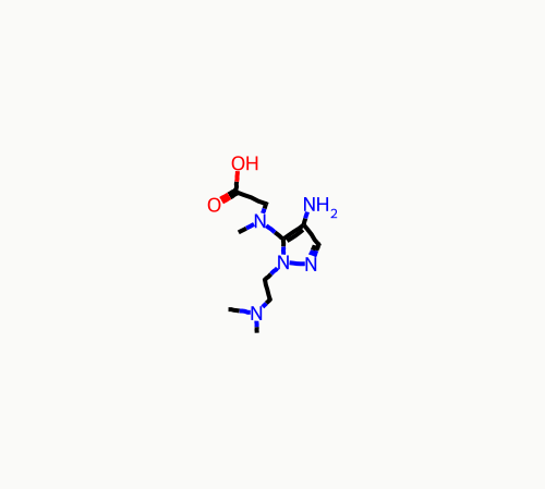 CN(C)CCn1ncc(N)c1N(C)CC(=O)O